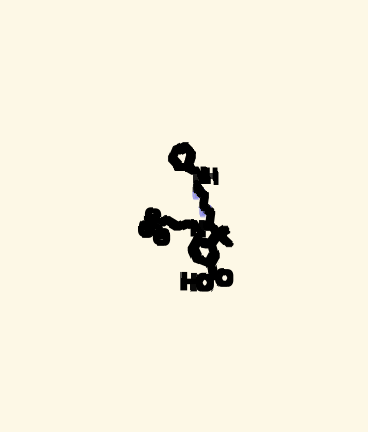 CC1(C)C(/C=C/C=C/Nc2ccccc2)=[N+](CCCS(=O)(=O)[O-])c2ccc(C(=O)O)cc21